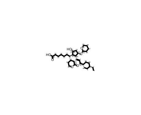 CC[C@H]1CC[C@H]([C@@H](C=C[C@@H]2[C@@H](CCCCCCC(=O)O)[C@@H](O)C[C@H]2OC2CCCCO2)OC2CCCCO2)CC1